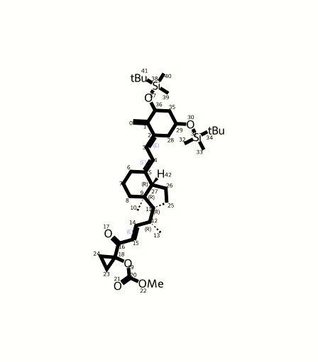 C=C1/C(=C/C=C2\CCC[C@]3(C)[C@@H]([C@H](C)/C=C/C(=O)C4(OC(=O)OC)CC4)CC[C@@H]23)CC(O[Si](C)(C)C(C)(C)C)CC1O[Si](C)(C)C(C)(C)C